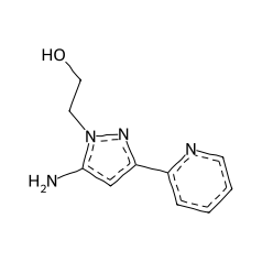 Nc1cc(-c2ccccn2)nn1CCO